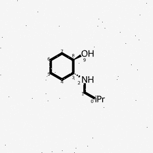 CC(C)CN[C@@H]1CCCC[C@H]1O